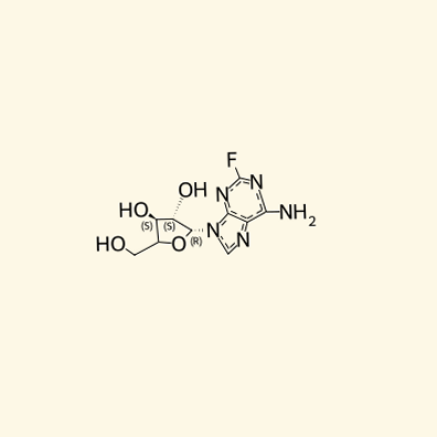 Nc1nc(F)nc2c1ncn2[C@@H]1OC(CO)[C@@H](O)[C@@H]1O